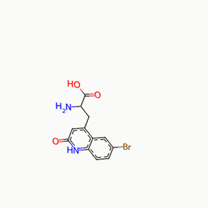 NC(Cc1cc(=O)[nH]c2ccc(Br)cc12)C(=O)O